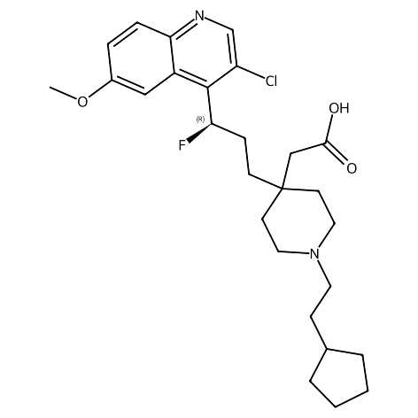 COc1ccc2ncc(Cl)c([C@H](F)CCC3(CC(=O)O)CCN(CCC4CCCC4)CC3)c2c1